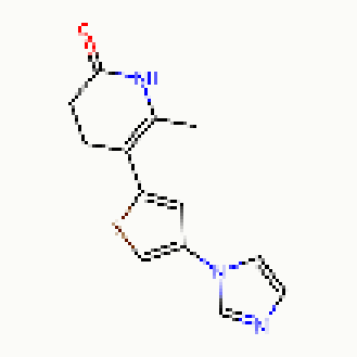 CC1=C(c2cc(-n3ccnc3)cs2)CCC(=O)N1